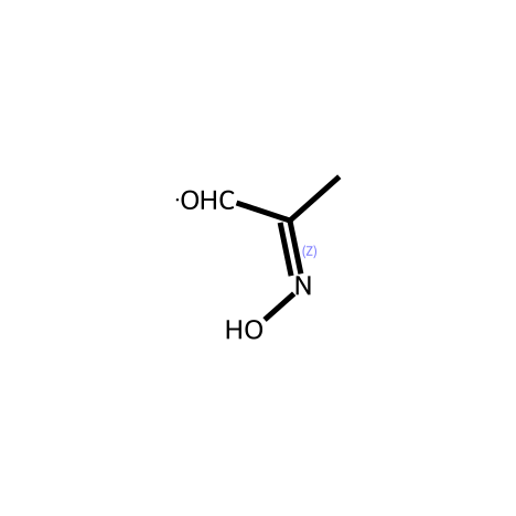 C/C([C]=O)=N/O